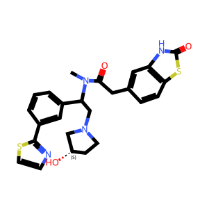 CN(C(=O)Cc1ccc2sc(=O)[nH]c2c1)C(CN1CC[C@H](O)C1)c1cccc(-c2nccs2)c1